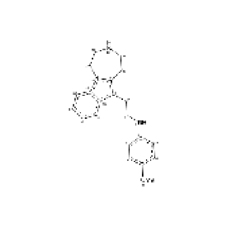 COc1ccc(NCCc2c3n(c4ccccc24)CCNCC3)cc1